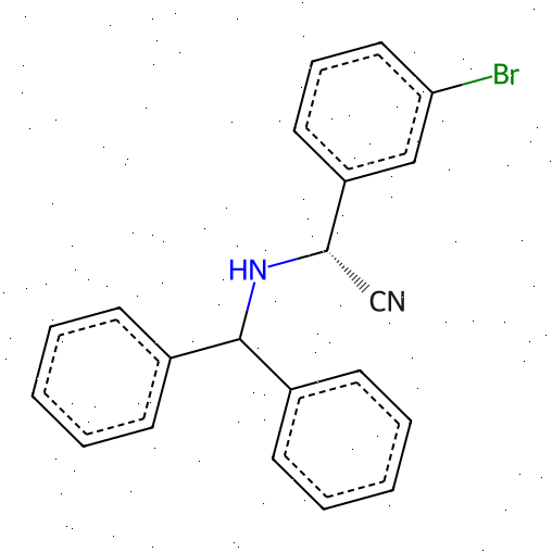 N#C[C@H](NC(c1ccccc1)c1ccccc1)c1cccc(Br)c1